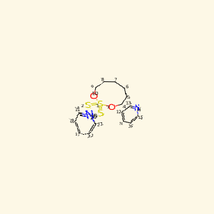 S=S1(=S)OCCCCCCO1.c1ccncc1.c1ccncc1